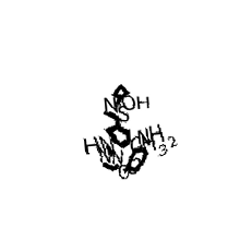 Cc1cc(Nc2nccc(OC3CC4CC(N)CC3O4)n2)cc(-c2cnc(C3(O)CCC3)s2)c1